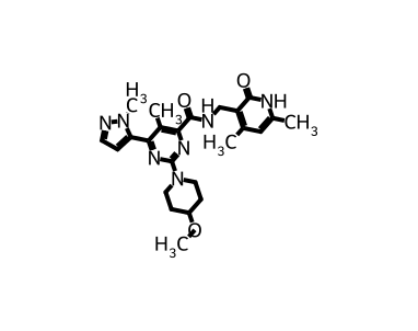 COC1CCN(c2nc(C(=O)NCc3c(C)cc(C)[nH]c3=O)c(C)c(-c3ccnn3C)n2)CC1